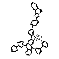 CC1(C)c2cc(-c3ccc(-c4cn5ccc6ccccc6c5n4)cc3)ccc2-c2cc3c(-c4cccc(-c5ccccc5)c4)c4ccccc4c(-c4cccc(-c5ccccc5)c4)c3cc21